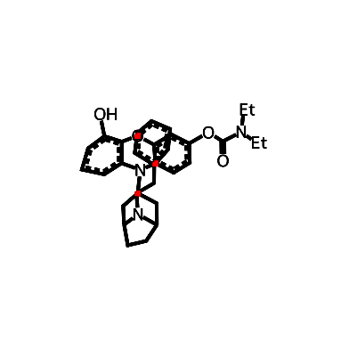 CCN(CC)C(=O)Oc1ccc2c(c1)Oc1c(O)cccc1N2C1CC2CCC(C1)N2CCc1ccccc1